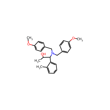 COc1ccc(CN(Cc2ccc(OC)cc2)C(c2ccccc2C)C(C)O)cc1